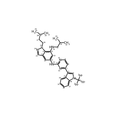 [2H]C([2H])([2H])n1cc(-c2ccnc(Nc3cc(NCC(C)C)c4c(cnn4CCN(C)C)c3)n2)c2ccccc21